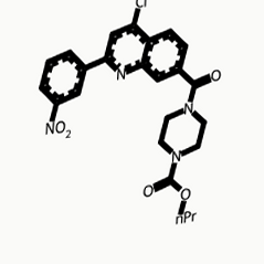 CCCOC(=O)N1CCN(C(=O)c2ccc3c(Cl)cc(-c4cccc([N+](=O)[O-])c4)nc3c2)CC1